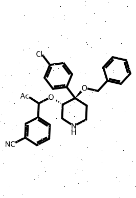 CC(=O)C(O[C@H]1CNCC[C@@]1(OCc1ccccc1)c1ccc(Cl)cc1)c1cccc(C#N)c1